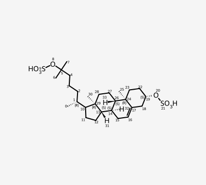 C[C@H](CCCC(C)(C)OS(=O)(=O)O)C1CC[C@H]2[C@@H]3CC=C4C[C@@H](OS(=O)(=O)O)CC[C@]4(C)[C@H]3CC[C@]12C